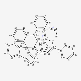 C/C=C\C=C1/CC(c2ccccc2)=CC(c2cccc3c2C2(c4ccccc4-3)c3ccccc3N(c3ccccc3)c3ccccc32)=N1